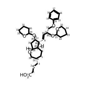 O=C(O)CSC[C@H]1CC[C@@H]2[C@@H](C=C[C@H](COc3ccccc3)OC3CCCCO3)[C@H](OC3CCCCO3)C[C@@H]2OC1